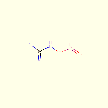 N=C(N)NO[PH2]=O